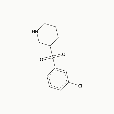 O=S(=O)(c1cccc(Cl)c1)C1CCCNC1